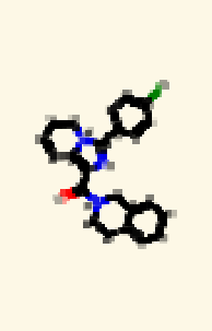 O=C(c1nc(-c2ccc(F)cc2)n2ccccc12)N1CCc2ccccc2C1